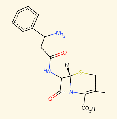 CC1=C(C(=O)O)N2C(=O)C(NC(=O)CC(N)c3ccccc3)[C@@H]2SC1